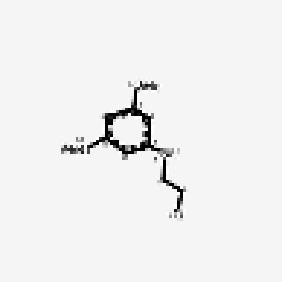 COc1cc(NCCCl)cc(OC)c1